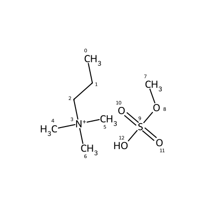 CCC[N+](C)(C)C.COS(=O)(=O)O